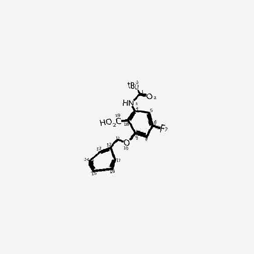 CC(C)(C)C(=O)Nc1cc(F)cc(OCc2ccccc2)c1C(=O)O